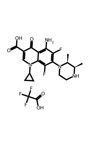 C[C@H]1NCCN(c2c(F)c(N)c3c(=O)c(C(=O)O)cn(C4CC4)c3c2F)[C@H]1C.O=C(O)C(F)(F)F